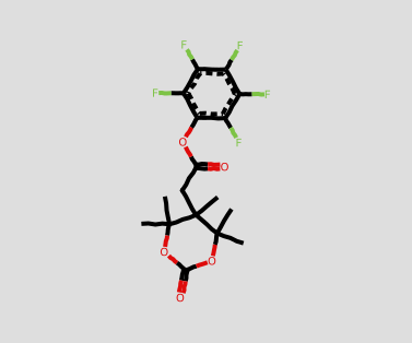 CC1(C)OC(=O)OC(C)(C)C1(C)CC(=O)Oc1c(F)c(F)c(F)c(F)c1F